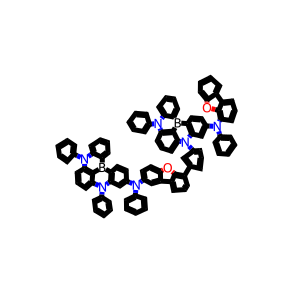 c1ccc(N(c2ccc3c(c2)N(c2ccccc2)c2cccc4c2B3c2ccccc2N4c2ccccc2)c2ccc3oc4c(-c5cccc(N6c7cc(N(c8ccccc8)c8cccc9c8oc8ccccc89)ccc7B7c8ccccc8N(c8ccccc8)c8cccc6c87)c5)cccc4c3c2)cc1